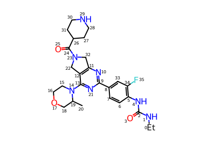 CCNC(=O)Nc1ccc(-c2nc3c(c(N4CCOCC4C)n2)CN(C(=O)C2CCNCC2)C3)cc1F